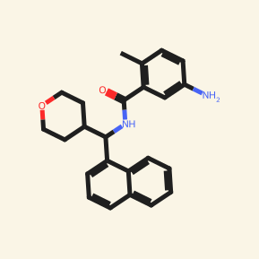 Cc1ccc(N)cc1C(=O)NC(c1cccc2ccccc12)C1CCOCC1